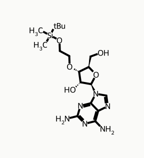 CC(C)(C)[Si](C)(C)OCCO[C@H]1[C@@H](O)[C@H](n2cnc3c(N)nc(N)nc32)O[C@@H]1CO